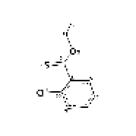 CCOC(=S)c1ccccc1Cl